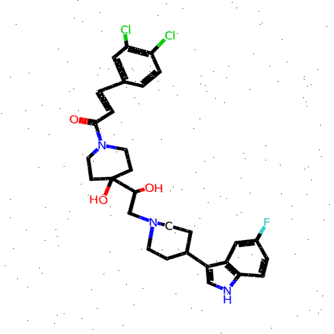 O=C(C=Cc1ccc(Cl)c(Cl)c1)N1CCC(O)(C(O)CN2CCC(c3c[nH]c4ccc(F)cc34)CC2)CC1